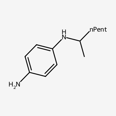 CCCCCC(C)Nc1ccc(N)cc1